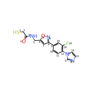 O=C(CS)NCc1cc(-c2ccc(-n3ccnc3)c(F)c2)no1